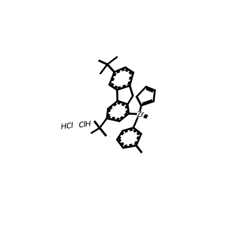 Cl.Cl.[CH2]=[Zr]([C]1=CC=CC1)([c]1cccc(C)c1)[c]1cc(C(C)(C)C)cc2c1Cc1ccc(C(C)(C)C)cc1-2